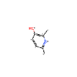 Cc1[c]cc(O)c(C)n1